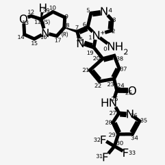 N[N+]12C=CN=CC1=C([C@@H]1CC[C@H]3COCCN3C1)N=C2c1ccc(C(=O)Nc2cc(C(F)(F)F)ccn2)cc1